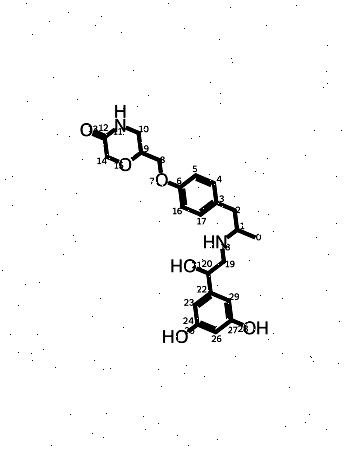 CC(Cc1ccc(OCC2CNC(=O)CO2)cc1)NCC(O)c1cc(O)cc(O)c1